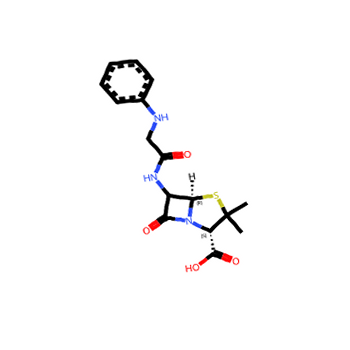 CC1(C)S[C@@H]2C(NC(=O)CNc3ccccc3)C(=O)N2[C@H]1C(=O)O